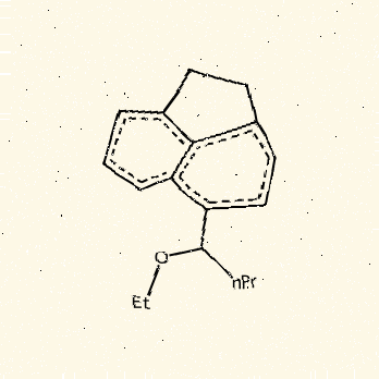 CCCC(OCC)c1ccc2c3c(cccc13)CC2